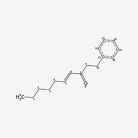 CCCCCC=CC(=O)CCc1ccccc1